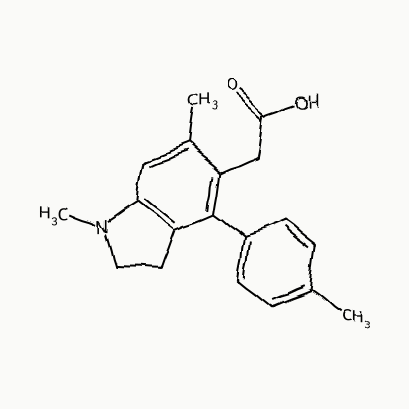 Cc1ccc(-c2c(CC(=O)O)c(C)cc3c2CCN3C)cc1